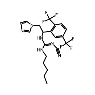 CCCCCNC(=NC#N)NC(Cn1ccnc1)c1cc(C(F)(F)F)ccc1C(F)(F)F